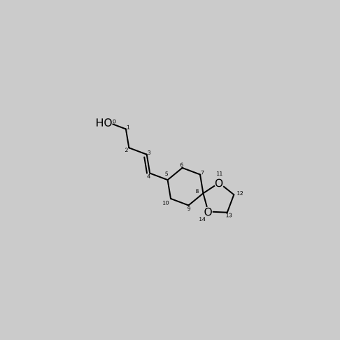 OCCC=CC1CCC2(CC1)OCCO2